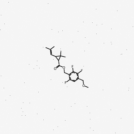 COCc1cc(F)c(COC(=O)C2C(C=C(C)C)C2(C)C)c(F)c1F